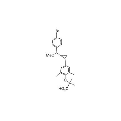 COC(c1ccc(Br)cc1)C1CC1c1cc(C)c(OC(C)(C)C(=O)O)c(C)c1